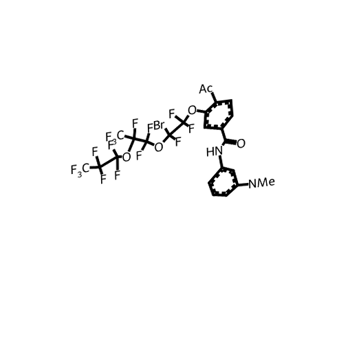 CNc1cccc(NC(=O)c2ccc(C(C)=O)c(OC(F)(F)C(F)(Br)OC(F)(F)C(F)(OC(F)(F)C(F)(F)C(F)(F)F)C(F)(F)F)c2)c1